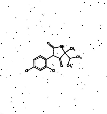 CC(C)C1(C)NC(=O)C(c2ccc(Cl)cc2Cl)C1=O